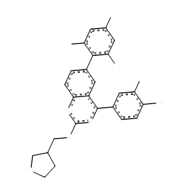 Cc1cc(C)c(-c2ccc3nc(NCC4CCNC4)nc(-c4ccc(C#N)c(F)c4)c3c2)c(C)c1